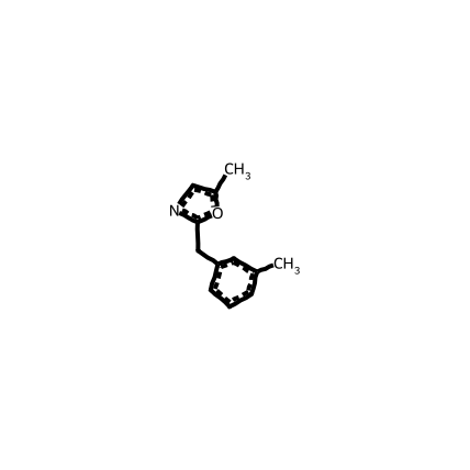 Cc1cccc(Cc2ncc(C)o2)c1